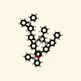 c1ccc(-c2ccc3c4ccc(-c5ccc6c(c5)c5ccccc5n6-c5ccccc5)cc4n(-c4cc(-c5ccccc5)nc(-n5c6cc(-c7ccccc7)ccc6c6ccc(-c7ccc8c(c7)c7ccccc7n8-c7ccccc7)cc65)n4)c3c2)cc1